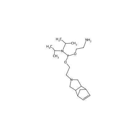 CC(C)N(C(C)C)P(OCCN)OCCN1CC2C3C=CC(C3)C2C1